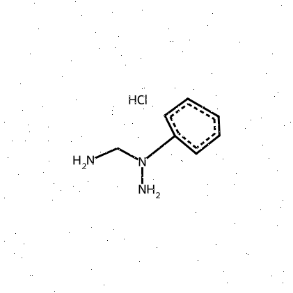 Cl.NCN(N)c1ccccc1